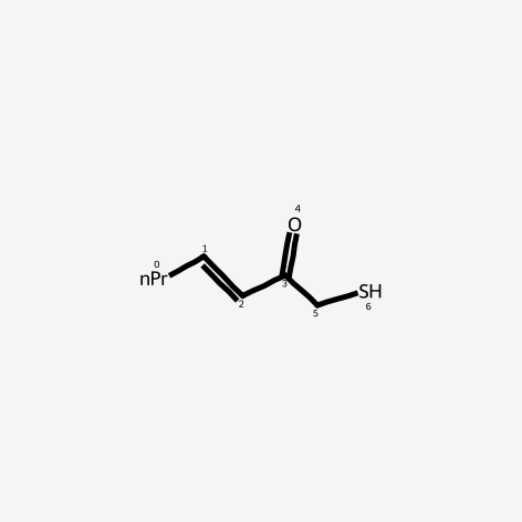 CCCC=CC(=O)CS